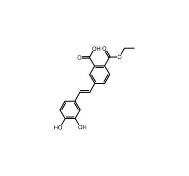 CCOC(=O)c1ccc(C=Cc2ccc(O)c(O)c2)cc1C(=O)O